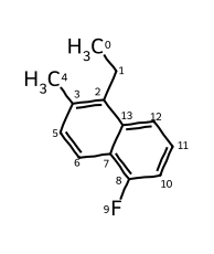 CCc1c(C)ccc2c(F)cccc12